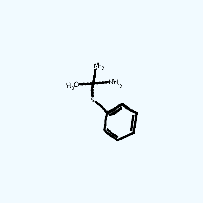 CC(N)(N)Sc1ccccc1